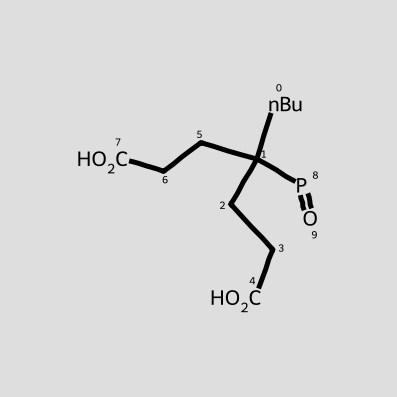 CCCCC(CCC(=O)O)(CCC(=O)O)P=O